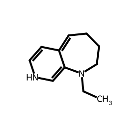 CCN1CCCC=C2C=CNC=C21